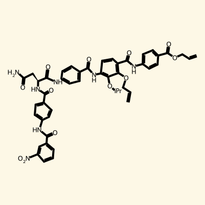 C=CCOC(=O)c1ccc(NC(=O)c2ccc(NC(=O)c3ccc(NC(=O)[C@H](CC(N)=O)NC(=O)c4ccc(NC(=O)c5cccc([N+](=O)[O-])c5)cc4)cc3)c(OC(C)C)c2OCC=C)cc1